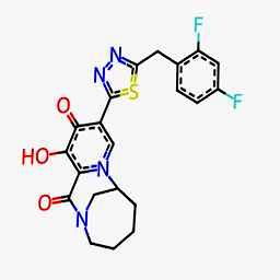 O=C1c2c(O)c(=O)c(-c3nnc(Cc4ccc(F)cc4F)s3)cn2C2CCCCN1C2